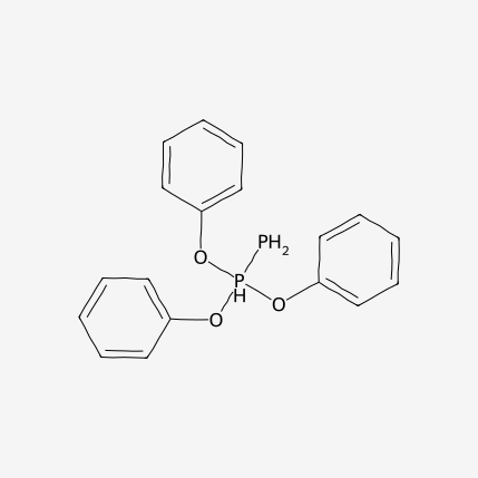 P[PH](Oc1ccccc1)(Oc1ccccc1)Oc1ccccc1